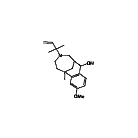 C=CC(C)(C)N1CCC2(C)CC(C1)C(O)c1ccc(OC)cc12